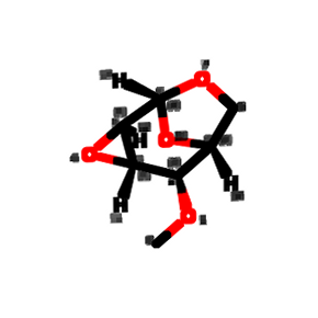 CO[C@H]1[C@@H]2O[C@@H]2[C@@H]2OC[C@H]1O2